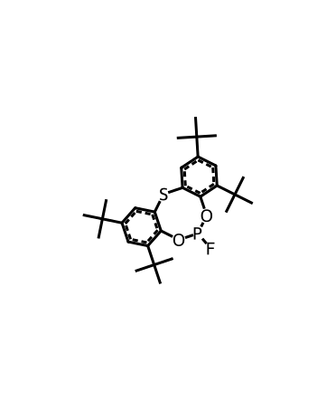 CC(C)(C)c1cc2c(c(C(C)(C)C)c1)OP(F)Oc1c(cc(C(C)(C)C)cc1C(C)(C)C)S2